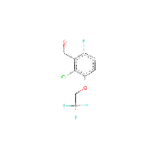 O=Cc1c(F)ccc(OCC(F)(F)F)c1Cl